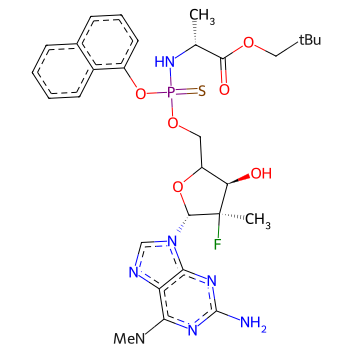 CNc1nc(N)nc2c1ncn2[C@@H]1OC(COP(=S)(N[C@H](C)C(=O)OCC(C)(C)C)Oc2cccc3ccccc23)[C@@H](O)[C@@]1(C)F